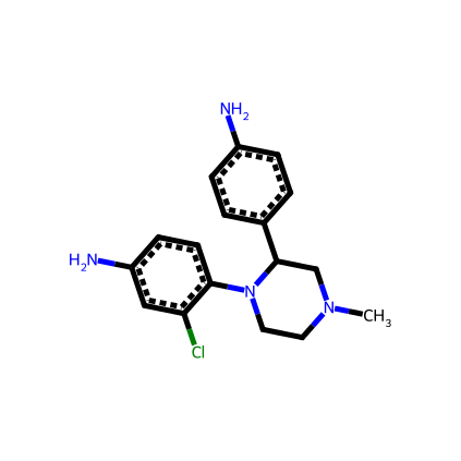 CN1CCN(c2ccc(N)cc2Cl)C(c2ccc(N)cc2)C1